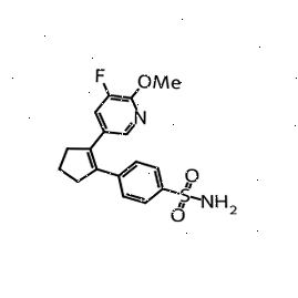 COc1ncc(C2=C(c3ccc(S(N)(=O)=O)cc3)CCC2)cc1F